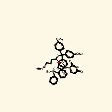 COc1ccc(C(OC(CCCN=[N+]=[N-])[C@H]2O[C@@H](n3ccc(=O)[nH]c3=O)[C@H](OC)[C@@H]2O[Si](c2ccccc2)(c2ccccc2)C(C)(C)C)(c2ccccc2)c2ccc(OC)cc2)cc1